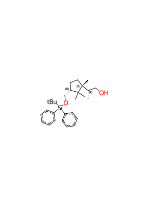 C[C@@H](CO)[C@@]1(C)CC[C@@H](CO[Si](c2ccccc2)(c2ccccc2)C(C)(C)C)C1(C)C